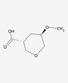 CO[C@H]1COC[C@H](C(=O)O)C1